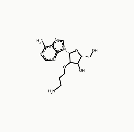 NCCCOC1C(O)[C@@H](CO)O[C@H]1n1cnc2c(N)ncnc21